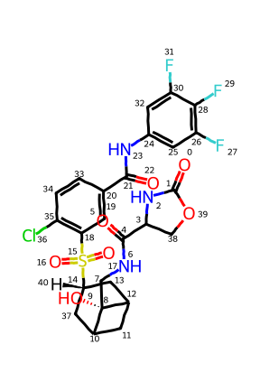 O=C1NC(C(=O)NC[C@]2(O)C3CC2C[C@@H](S(=O)(=O)c2cc(C(=O)Nc4cc(F)c(F)c(F)c4)ccc2Cl)C3)CO1